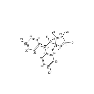 CC1=PC(C)(C(C)P(c2ccc(C)cc2)c2ccc(C)cc2)C(C)=C1C